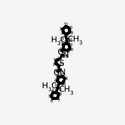 CC(C)(c1ccccc1)c1ccc2nc(-c3ccc(-c4nc5ccc(C(C)(C)c6ccccc6)cc5o4)s3)oc2c1